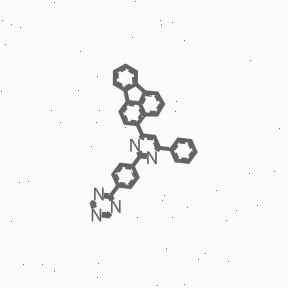 c1ccc(-c2cc(-c3ccc4c5c(cccc35)-c3ccccc3-4)nc(-c3ccc(-c4ncncn4)cc3)n2)cc1